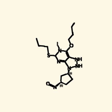 CCCCOC1=C2NNN([C@H]3CC[C@@H](N=O)C3)C2=NC(SCCC)N1I